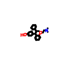 C/C(=C(/c1ccc(O)cc1)c1ccccc1OCCN(C)C)c1ccccc1